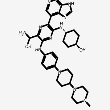 CN1CCN(C2CCN(c3ccc(Nc4nc(N[C@H]5CC[C@H](O)CC5)c(-c5cncc6[nH]cnc56)nc4C(N)O)cc3)CC2)CC1